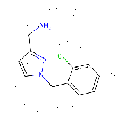 NCc1ccn(Cc2ccccc2Cl)n1